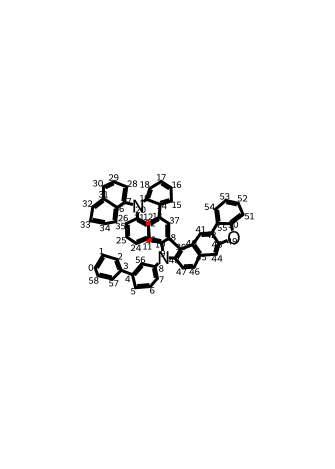 c1ccc(-c2cccc(-n3c4ccc(-c5ccccc5N(c5ccccc5)c5cccc6ccccc56)cc4c4c5cc6c(cc5ccc43)oc3ccccc36)c2)cc1